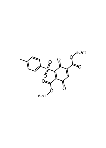 CCCCCCCCOC(=O)C1=CC(=O)C(C(=O)OCCCCCCCC)=C(S(=O)(=O)c2ccc(C)cc2)C1=O